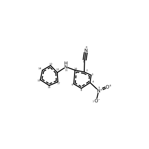 N#Cc1cc([N+](=O)[O-])ccc1Nc1ccccc1